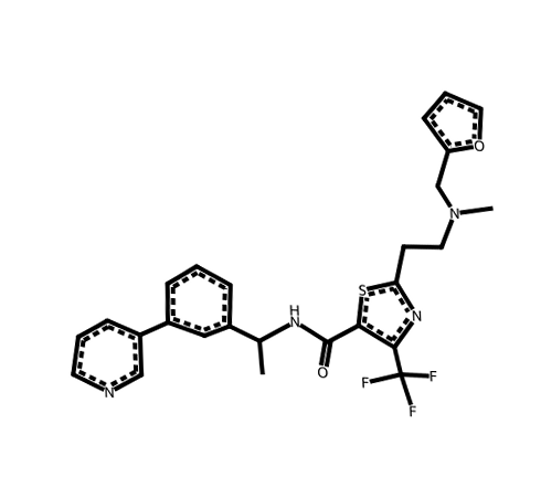 CC(NC(=O)c1sc(CCN(C)Cc2ccco2)nc1C(F)(F)F)c1cccc(-c2cccnc2)c1